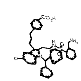 NCc1ccccc1S(=O)(=O)NCCc1c(CCCc2ccc(C(=O)O)cc2)c2cc(Cl)ccc2n1C(c1ccccc1)c1ccccc1